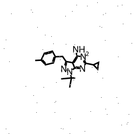 Cc1ccc(Cc2nn(C(C)(C)C)c3nc(C4CC4)nc(N)c23)cc1